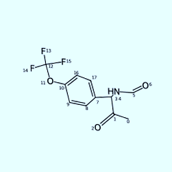 CC(=O)C(NC=O)c1ccc(OC(F)(F)F)cc1